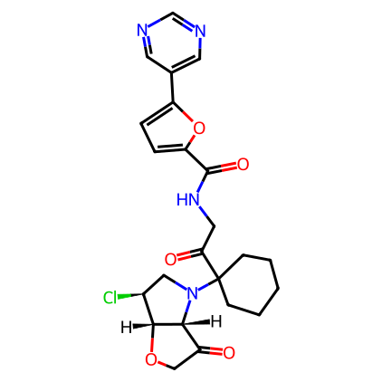 O=C(NCC(=O)C1(N2C[C@H](Cl)[C@H]3OCC(=O)[C@H]32)CCCCC1)c1ccc(-c2cncnc2)o1